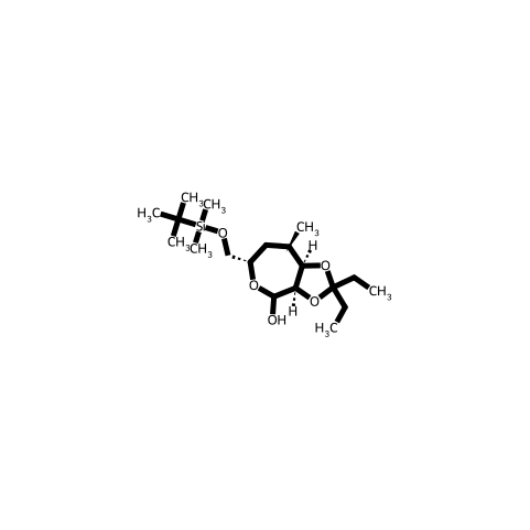 CCC1(CC)O[C@@H]2[C@H](C)C[C@@H](CO[Si](C)(C)C(C)(C)C)OC(O)[C@@H]2O1